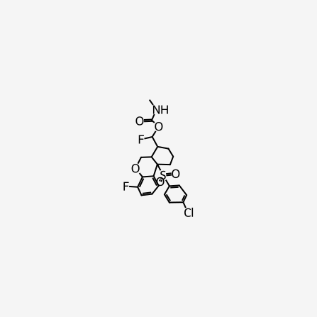 CNC(=O)OC(F)C1CCCC2(S(=O)(=O)c3ccc(Cl)cc3)c3cccc(F)c3OCC12